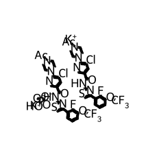 CC(=O)N1CCN(c2ncc(C(=O)Nc3nc(-c4cccc(OC(F)(F)F)c4F)cs3)cc2Cl)CC1.CC(=O)N1CCN(c2ncc(C(=O)Nc3nc(-c4cccc(OC(F)(F)F)c4F)cs3)cc2Cl)CC1.O=P([O-])([O-])O.[K+].[K+]